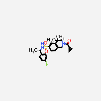 C[C@H](NS(=O)(=O)c1ccc2c(c1)C(C)(C)CN(C(=O)C1CC1)C2)c1ccc(F)cc1